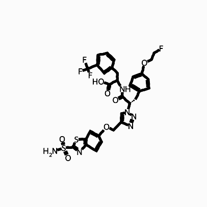 NS(=O)(=O)c1nc2ccc(OCc3cn([C@@H](Cc4ccc(OCCF)cc4)C(=O)NC(Cc4cccc(C(F)(F)F)c4)C(=O)O)nn3)cc2s1